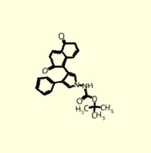 CC(C)(C)OC(=O)Nn1cc(C2=C3C=CCC(=O)C3=CCC2=O)c(-c2ccccc2)c1